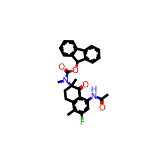 CC(=O)Nc1cc(F)c(C)c2c1C(=O)C(C)(N(C)C(=O)OC1c3ccccc3-c3ccccc31)CC2